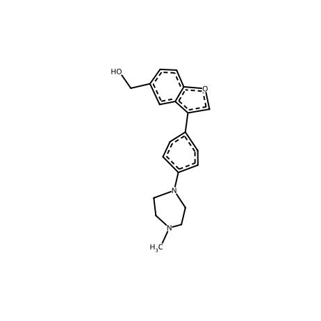 CN1CCN(c2ccc(-c3coc4ccc(CO)cc34)cc2)CC1